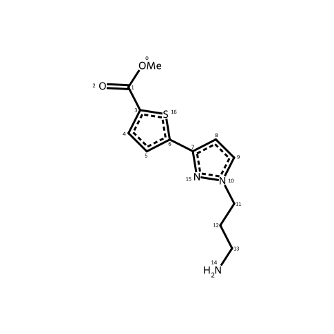 COC(=O)c1ccc(-c2ccn(CCCN)n2)s1